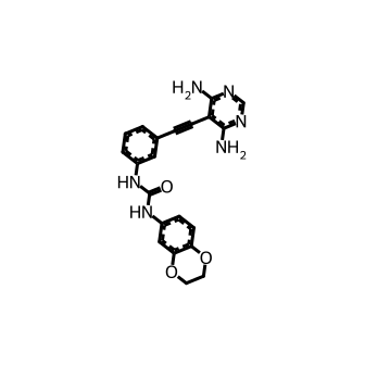 Nc1ncnc(N)c1C#Cc1cccc(NC(=O)Nc2ccc3c(c2)OCCO3)c1